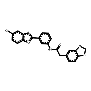 O=C(Cc1ccc2c(c1)OCO2)Nc1cccc(-c2nc3cc(Cl)ccc3o2)c1